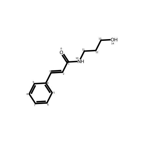 O=C(/C=C/c1ccccc1)NCCCO